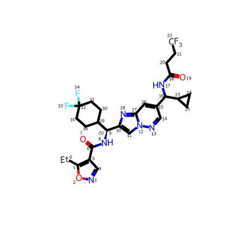 CCc1oncc1C(=O)N[C@H](c1cn2ncc(C(NC(=O)CCC(F)(F)F)C3CC3)cc2n1)C1CCC(F)(F)CC1